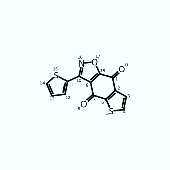 O=C1c2ccsc2C(=O)c2c(-c3cccs3)noc21